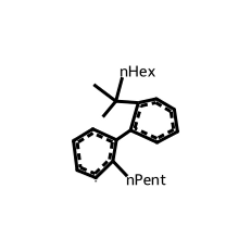 CCCCCCC(C)(C)c1ccccc1-c1ccc[c]c1CCCCC